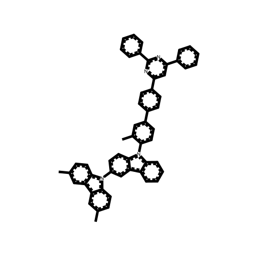 Cc1ccc2c(c1)c1cc(C)ccc1n2-c1ccc2c(c1)c1ccccc1n2-c1ccc(-c2ccc(-c3cc(-c4ccccc4)nc(-c4ccccc4)n3)cc2)cc1C